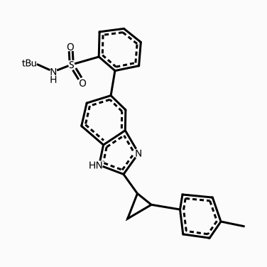 Cc1ccc(C2CC2c2nc3cc(-c4ccccc4S(=O)(=O)NC(C)(C)C)ccc3[nH]2)cc1